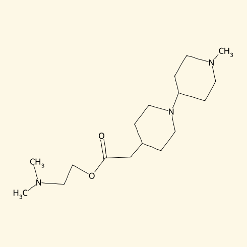 CN(C)CCOC(=O)CC1CCN(C2CCN(C)CC2)CC1